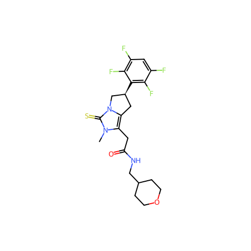 Cn1c(CC(=O)NCC2CCOCC2)c2n(c1=S)C[C@@H](c1c(F)c(F)cc(F)c1F)C2